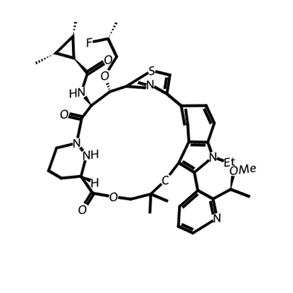 CCn1c(-c2cccnc2[C@H](C)OC)c2c3cc(ccc31)-c1csc(n1)[C@@H](OC[C@@H](C)F)[C@H](NC(=O)[C@H]1[C@H](C)[C@@H]1C)C(=O)N1CCC[C@H](N1)C(=O)OCC(C)(C)C2